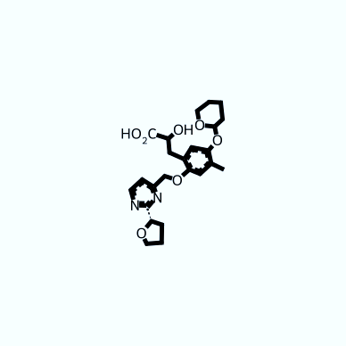 Cc1cc(OCc2ccnc([C@@H]3CCCO3)n2)c(CC(O)C(=O)O)cc1OC1CCCCO1